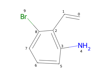 C=Cc1c(N)cccc1Br